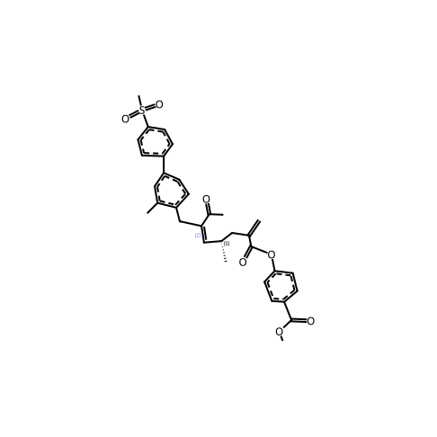 C=C(C[C@H](C)/C=C(/Cc1ccc(-c2ccc(S(C)(=O)=O)cc2)cc1C)C(C)=O)C(=O)Oc1ccc(C(=O)OC)cc1